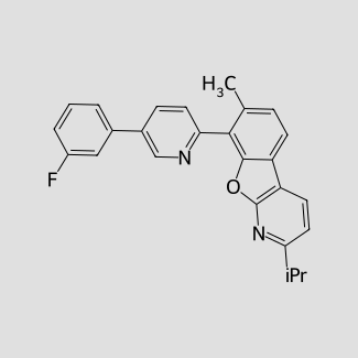 Cc1ccc2c(oc3nc(C(C)C)ccc32)c1-c1ccc(-c2cccc(F)c2)cn1